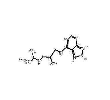 CC(C)NCC(O)COc1cccc2nsnc12